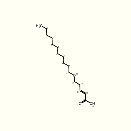 CCCCCCCCCCCOCCC=CC(=O)O